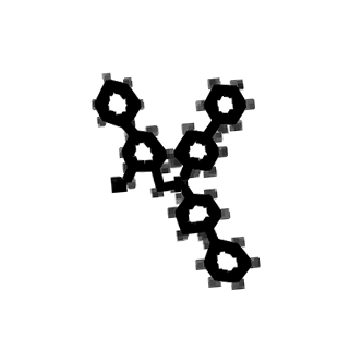 Brc1cc(-c2ccccc2)ccc1CN(c1ccc(-c2ccccc2)cc1)c1ccc(-c2ccccc2)cc1